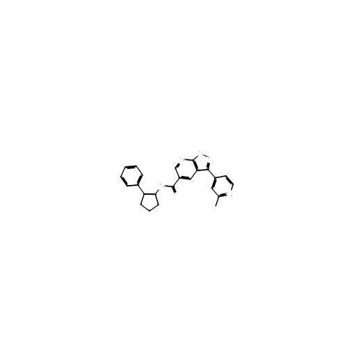 Cc1cc(-c2n[nH]c3ncc(C(=O)NC4CCCC4c4ccccc4)cc23)ccn1